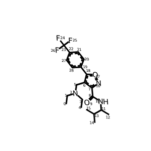 CCN(CC)Cc1c(C(=O)NC(C)C(C)C)noc1-c1ccc(C(F)(F)F)cc1